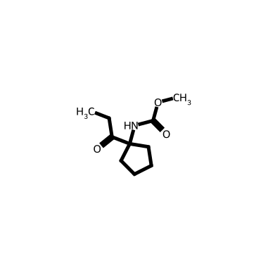 CCC(=O)C1(NC(=O)OC)CCCC1